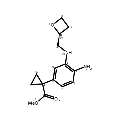 COC(=O)C1(c2ccc(N)c(NC[C@@H]3CCO3)c2)CC1